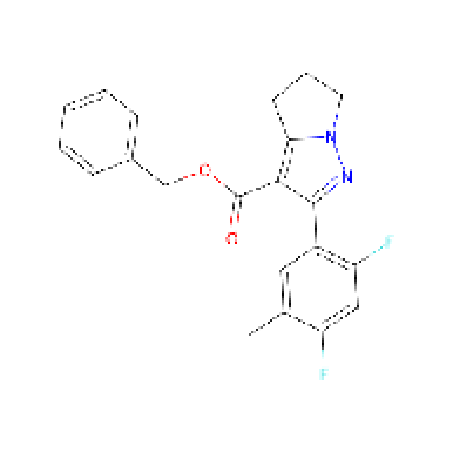 Cc1cc(-c2nn3c(c2C(=O)OCc2ccccc2)CCC3)c(F)cc1F